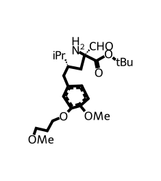 COCCCOc1cc(C[C@@H](C[C@](N)(C=O)C(=O)OC(C)(C)C)C(C)C)ccc1OC